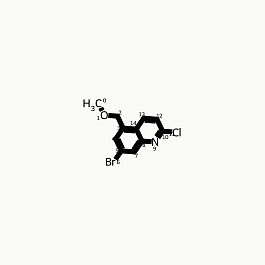 COCc1cc(Br)cc2nc(Cl)ccc12